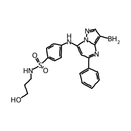 Bc1cnn2c(Nc3ccc(S(=O)(=O)NCCCO)cc3)cc(-c3ccccc3)nc12